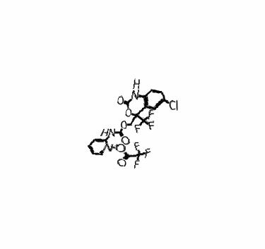 O=C(Nc1cccc[n+]1OC(=O)C(F)(F)F)OCC1(C(F)(F)F)OC(=O)Nc2ccc(Cl)cc21